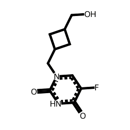 O=c1[nH]c(=O)n(CC2CC(CO)C2)cc1F